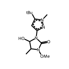 CON1C(=O)N(c2cc(C(C)(C)C)n(C)n2)C(O)C1C